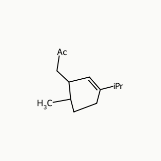 CC(=O)CC1C=C(C(C)C)CCC1C